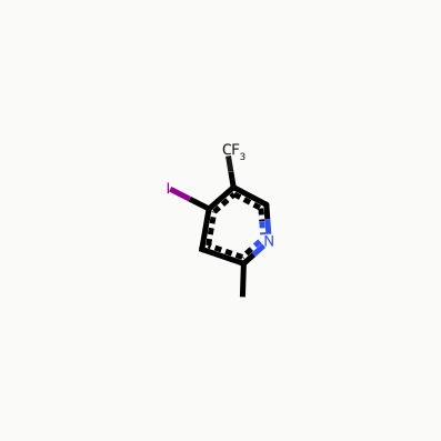 Cc1cc(I)c(C(F)(F)F)cn1